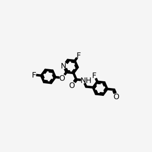 O=Cc1ccc(CNC(=O)c2cc(F)cnc2Oc2ccc(F)cc2)c(F)c1